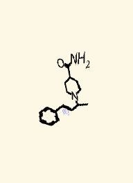 CC(/C=C/c1ccccc1)N1CCC(C(N)=O)CC1